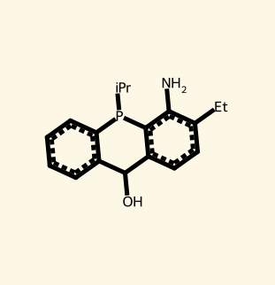 CCc1ccc2c(c1N)P(C(C)C)c1ccccc1C2O